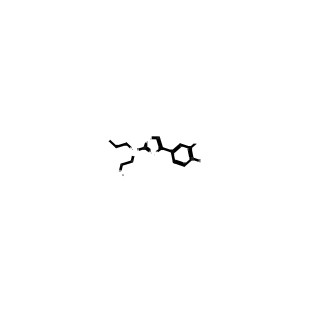 CCCN(CCO)c1nc(-c2ccc(F)c(F)c2)cs1